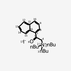 CCCC[N+](CCCC)(CCCC)CC(=O)c1cccc2ccccc12.[I-]